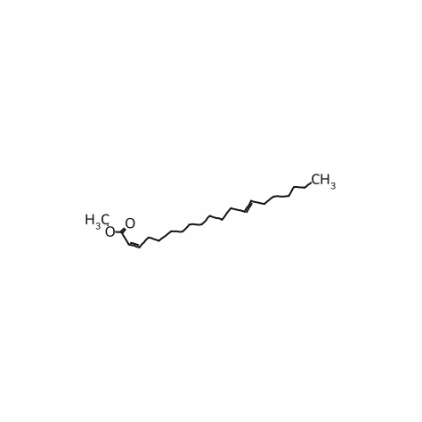 CCCCCCC=CCCCCCCCCC/C=C\C(=O)OC